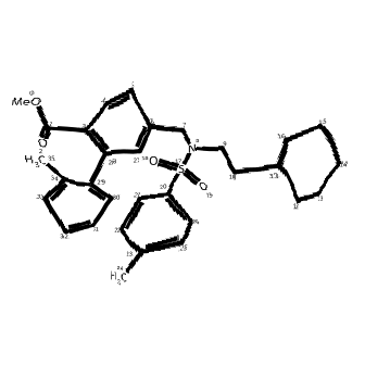 COC(=O)c1ccc(CN(CCC2CCCCC2)S(=O)(=O)c2ccc(C)cc2)cc1-c1ccccc1C